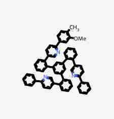 COc1cc(-c2ccc(-c3ccccc3-c3cc(-c4ccccc4-c4ccc(-c5ccccc5)nc4)cc(-c4ccccc4-c4ccc(-c5ccccc5)nc4)c3)cn2)ccc1C